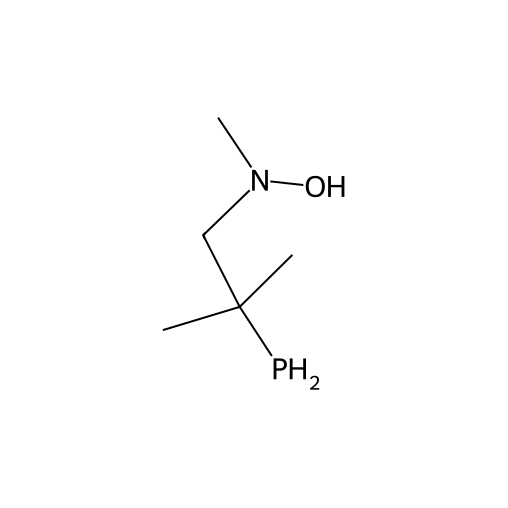 CN(O)CC(C)(C)P